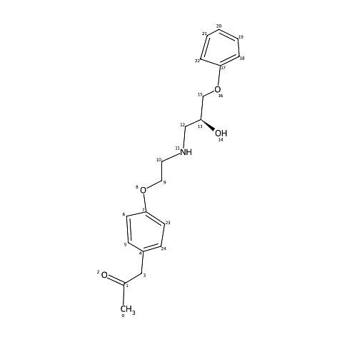 CC(=O)Cc1ccc(OCCNC[C@H](O)COc2ccccc2)cc1